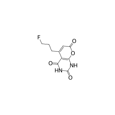 O=c1[nH]c(=O)c2c(CCCF)cc(=O)oc2[nH]1